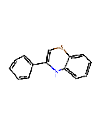 C1=C(c2ccccc2)Nc2ccccc2S1